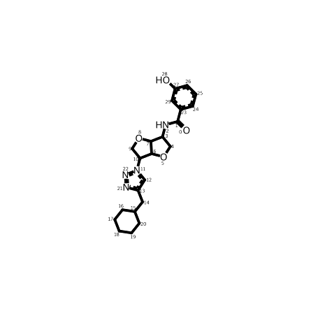 O=C(NC1COC2C1OCC2n1cc(CC2CCCCC2)nn1)c1cccc(O)c1